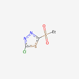 CCS(=O)(=O)c1nnc(Cl)s1